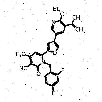 C=C(C)c1cc(-c2coc(-c3cc(C(F)(F)F)c(C#N)c(=O)n3Cc3ccc(F)cc3F)c2)cnc1OCC